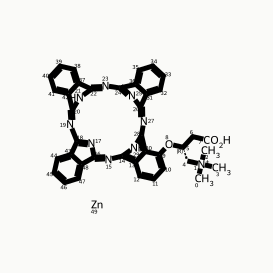 C[N+](C)(C)C[C@@H](CC(=O)O)Oc1cccc2c3nc4nc(nc5[nH]c(nc6nc(nc([nH]3)c12)-c1ccccc1-6)c1ccccc51)-c1ccccc1-4.[Zn]